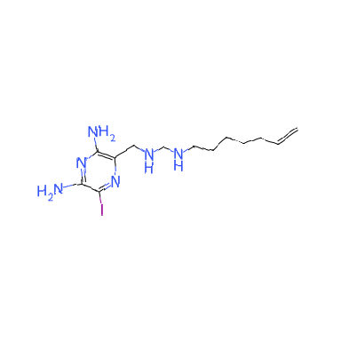 C=CCCCCCNCNCc1nc(I)c(N)nc1N